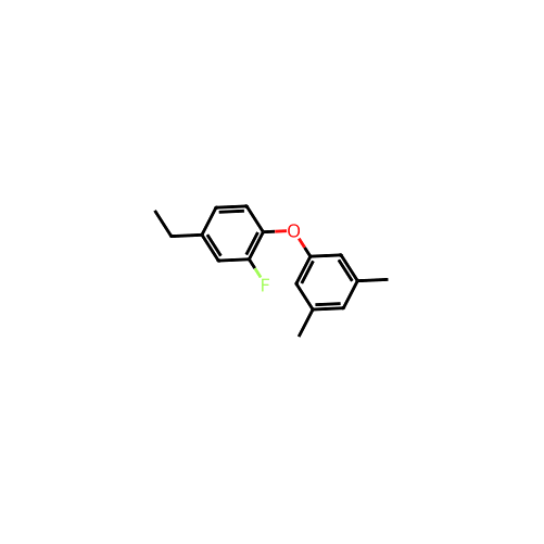 CCc1ccc(Oc2cc(C)cc(C)c2)c(F)c1